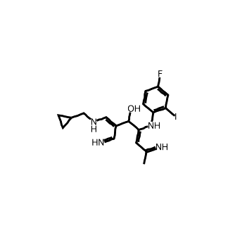 CC(=N)/C=C(\Nc1ccc(F)cc1I)C(O)/C(C=N)=C/NCC1CC1